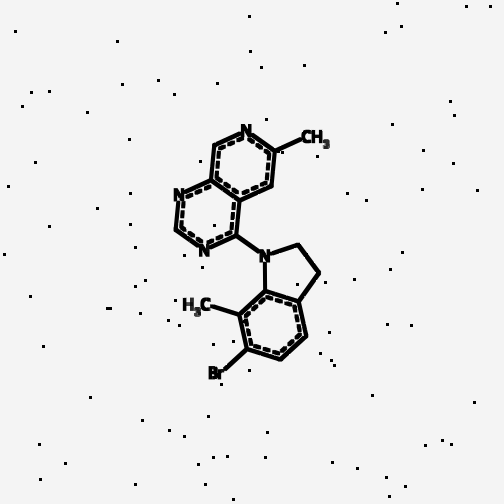 Cc1cc2c(N3CCc4ccc(Br)c(C)c43)ncnc2cn1